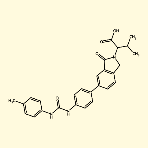 Cc1ccc(NC(=O)Nc2ccc(-c3ccc4c(c3)C(=O)N(C(C(=O)O)C(C)C)C4)cc2)cc1